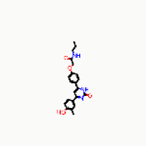 CCCNC(=O)COc1ccc(-c2cc(-c3ccc(O)c(C)c3)nc(=O)[nH]2)cc1